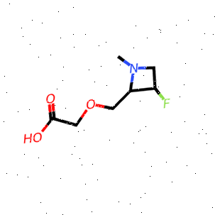 CN1CC(F)C1COCC(=O)O